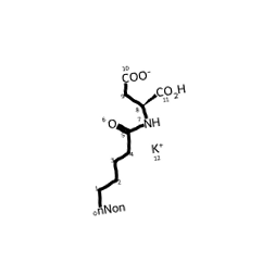 CCCCCCCCCCCCCC(=O)N[C@@H](CC(=O)[O-])C(=O)O.[K+]